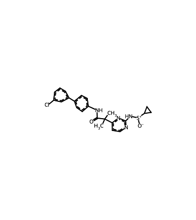 CC(C)(C(=O)Nc1ccc(-c2cccc(Cl)c2)cc1)c1ccnc(N[S+]([O-])C2CC2)n1